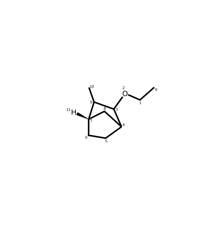 CCOC1C2CC[C@@H](C2)C1C